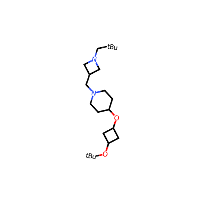 CC(C)(C)CN1CC(CN2CCC(OC3CC(OC(C)(C)C)C3)CC2)C1